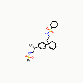 CC(CNS(=O)(=O)C(C)C)c1ccc(C2(CCNS(=O)(=O)C3CCCCC3)C=CC=CC2)cc1